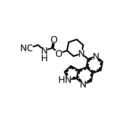 N#CCNC(=O)OC1CCCN(c2nccc3cnc4[nH]ccc4c23)C1